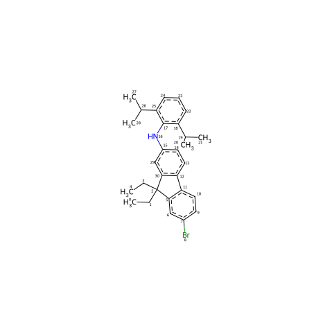 CCC1(CC)c2cc(Br)ccc2-c2ccc(Nc3c(C(C)C)cccc3C(C)C)cc21